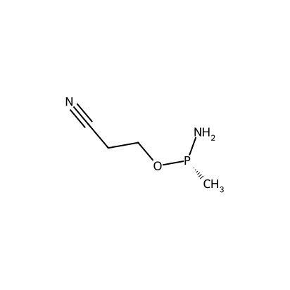 C[P@@](N)OCCC#N